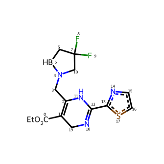 CCOC(=O)C1=C(CN2BCC(F)(F)C2)NC(c2nccs2)=NC1